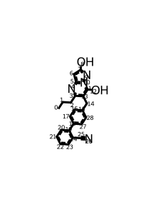 CCCc1nc2cc(O)nn2c(O)c1Cc1ccc(-c2ccccc2C#N)cc1